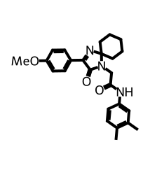 COc1ccc(C2=NC3(CCCCC3)N(CC(=O)Nc3ccc(C)c(C)c3)C2=O)cc1